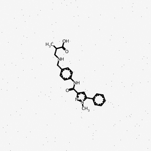 CC(CNCc1ccc(NC(=O)c2cc(-c3ccccc3)n(C)n2)cc1)C(=O)O